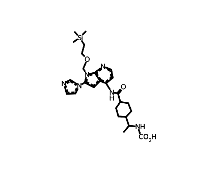 CC(NC(=O)O)C1CCC(C(=O)Nc2ccnc3c2cc(-n2ccnc2)n3COCC[Si](C)(C)C)CC1